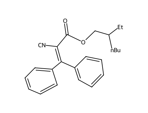 [C-]#[N+]C(C(=O)OCC(CC)CCCC)=C(c1ccccc1)c1ccccc1